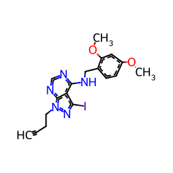 C#CCCn1nc(I)c2c(NCc3ccc(OC)cc3OC)ncnc21